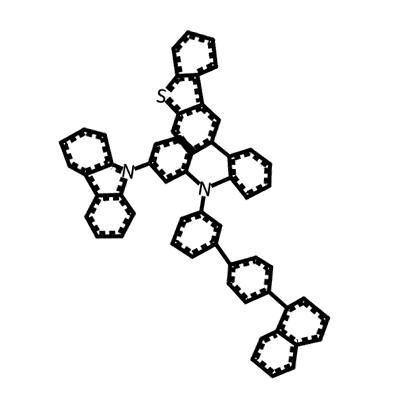 c1cc(-c2ccc(-c3cccc4ccccc34)cc2)cc(N(c2cccc(-n3c4ccccc4c4ccccc43)c2)c2ccccc2-c2ccc3sc4ccccc4c3c2)c1